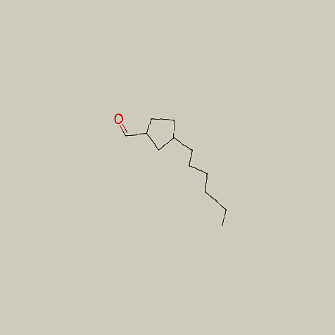 CCCCCCC1CCC(C=O)C1